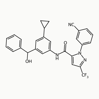 N#Cc1cccc(-n2nc(C(F)(F)F)cc2C(=O)Nc2cc(C3CC3)cc(C(O)c3ccccc3)c2)c1